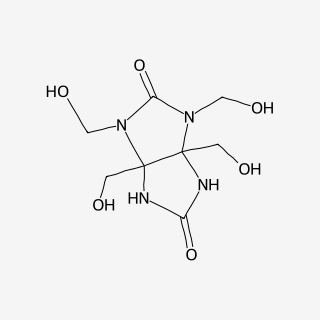 O=C1NC2(CO)N(CO)C(=O)N(CO)C2(CO)N1